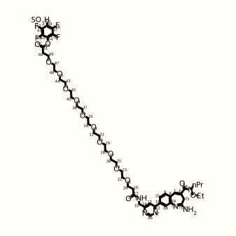 CCCN(OCC)C(=O)C1=Cc2ccc(-c3cc(CNC(=O)CCOCCOCCOCCOCCOCCOCCOCCOCCOCCOCCC(=O)Oc4c(F)c(F)c(S(=O)(=O)O)c(F)c4F)ncn3)cc2N=C(N)C1